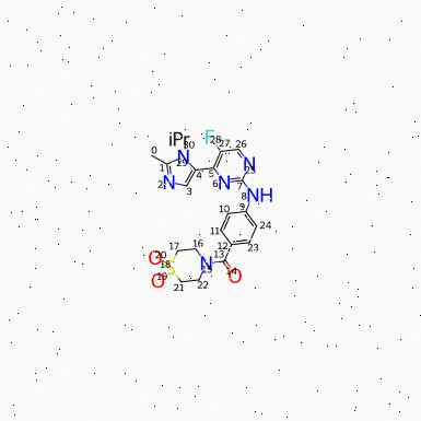 Cc1ncc(-c2nc(Nc3ccc(C(=O)N4CCS(=O)(=O)CC4)cc3)ncc2F)n1C(C)C